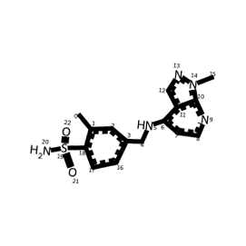 Cc1cc(CNc2ccnc3c2cnn3C)ccc1S(N)(=O)=O